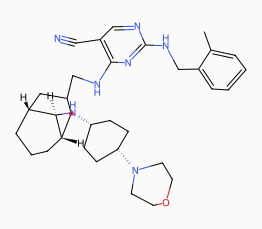 Cc1ccccc1CNc1ncc(C#N)c(NCC2C[C@H]3CCC[C@@H](C2)[C@@H]3N[C@H]2CC[C@@H](N3CCOCC3)CC2)n1